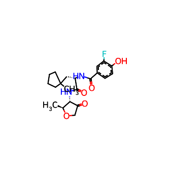 C[C@@H]1OCC(=O)[C@H]1NC(=O)[C@H](CC1(C)CCCC1)NC(=O)c1ccc(O)c(F)c1